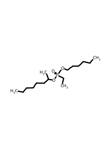 CCCCCCOP(=O)(CC)OC(C)CCCCCC